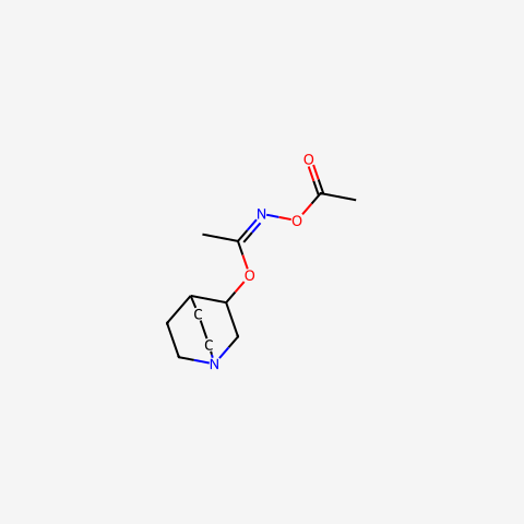 CC(=O)O/N=C(/C)OC1CN2CCC1CC2